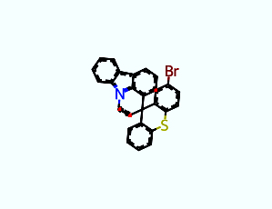 Brc1ccc2c(c1)C1(c3ccccc3S2)c2ccccc2-n2c3ccccc3c3cccc1c32